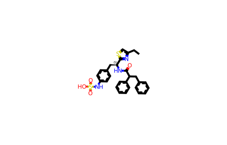 CCc1csc([C@H](Cc2ccc(NS(=O)(=O)O)cc2)NC(=O)C(Cc2ccccc2)c2ccccc2)n1